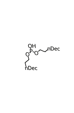 CCCCCCCCCCCCOP(O)OCCCCCCCCCCCC